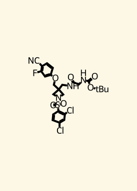 CC(C)(C)OC(=O)NCC(=O)NCC1(COc2ccc(C#N)c(F)c2)CN(S(=O)(=O)c2ccc(Cl)cc2Cl)C1